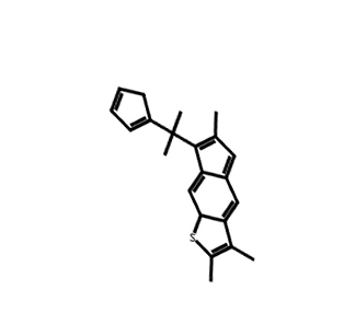 CC1=C(C(C)(C)C2=CC=CC2)C2=CC3SC(C)=C(C)C3=CC2=C1